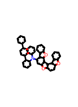 c1ccc(-c2ccc(-c3ccccc3N(c3ccccc3)c3cc4oc5ccc6oc7ccccc7c6c5c4c4oc5ccccc5c34)cc2)cc1